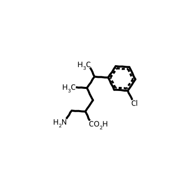 CC(CC(CN)C(=O)O)C(C)c1cccc(Cl)c1